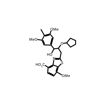 COc1cc(C(O)C(Cc2nc3c(C(=O)O)ccc(OC)c3s2)OC2CCCC2)cc(OC)c1C